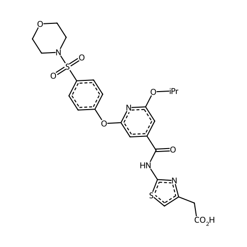 CC(C)Oc1cc(C(=O)Nc2nc(CC(=O)O)cs2)cc(Oc2ccc(S(=O)(=O)N3CCOCC3)cc2)n1